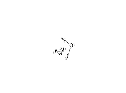 FOF.[Ag].[V]